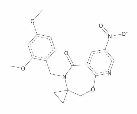 COc1ccc(CN2C(=O)c3cc([N+](=O)[O-])cnc3OCC23CC3)c(OC)c1